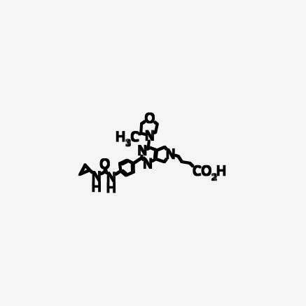 CC1COCCN1c1nc(-c2ccc(NC(=O)NC3CC3)cc2)nc2c1CN(CCCC(=O)O)C2